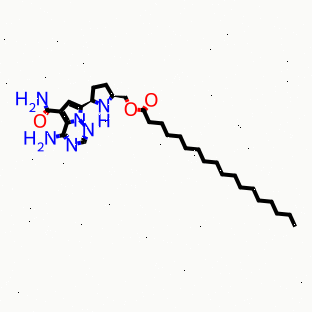 CCCCCCCCCCCCCCCCCC(=O)OC[C@@H]1CC[C@H](c2cc(C(N)=O)c3c(N)ncnn23)N1